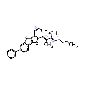 C=CCC/C=C(C)/C(C)=C/c1sc2c(sc3cc(-c4ccccc4)ccc32)c1/C=C\C